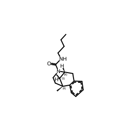 CCCCNC(=O)N1CC[C@@]2(C)c3ccccc3C[C@@H]1[C@H]2C